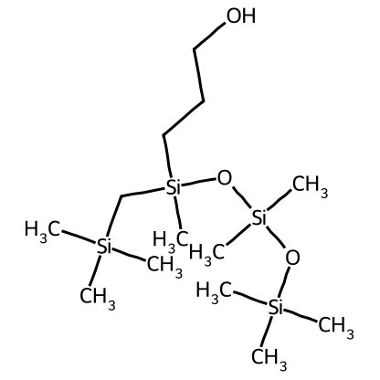 C[Si](C)(C)C[Si](C)(CCCO)O[Si](C)(C)O[Si](C)(C)C